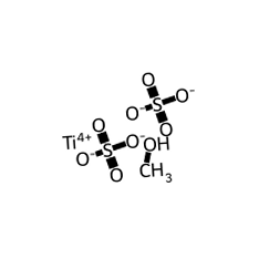 CO.O=S(=O)([O-])[O-].O=S(=O)([O-])[O-].[Ti+4]